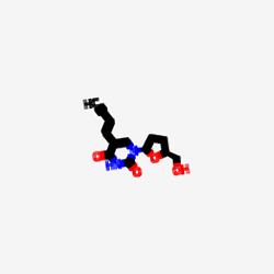 C#C/C=C/c1cn([C@H]2CC[C@@H](CO)O2)c(=O)[nH]c1=O